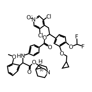 COc1ccccc1C(Nc1ccc(C(=O)OC(Cc2c(Cl)c[n+]([O-])cc2Cl)c2ccc(OC(F)F)c(OCC3CC3)c2)cc1)C(=O)O[C@H]1CN2CCC1CC2